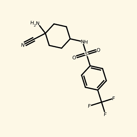 N#CC1(N)CCC(NS(=O)(=O)c2ccc(C(F)(F)F)cc2)CC1